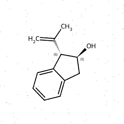 C=C(C)[C@H]1c2ccccc2C[C@@H]1O